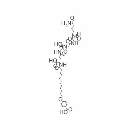 N[C@H](C=O)CCCCNC(=O)[C@H](CO)NC(=O)CNC(=O)[C@H](CO)NC(=O)CC[C@H](NC(=O)CCCCCCCCCCCOc1ccc(C(=O)O)cc1)C(=O)O